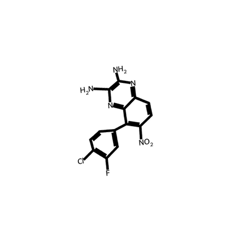 Nc1nc2ccc([N+](=O)[O-])c(-c3ccc(Cl)c(F)c3)c2nc1N